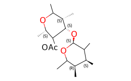 CC(=O)OC1[C@H](C)OC(C)[C@H](C)[C@@H]1O[C@@H]1OC(C)[C@H](C)[C@H](C)C1C